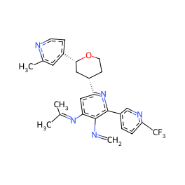 C=Nc1c(N=C(C)C)cc([C@H]2CCO[C@@H](c3ccnc(C)c3)C2)nc1-c1ccc(C(F)(F)F)nc1